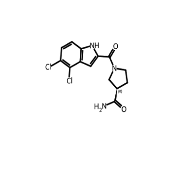 NC(=O)[C@@H]1CCN(C(=O)c2cc3c(Cl)c(Cl)ccc3[nH]2)C1